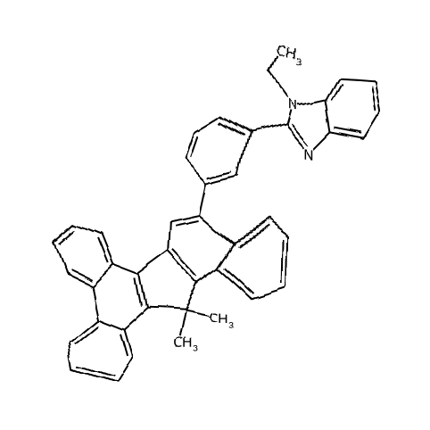 CCn1c(-c2cccc(-c3cc4c(c5ccccc35)C(C)(C)c3c-4c4ccccc4c4ccccc34)c2)nc2ccccc21